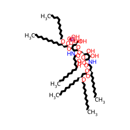 CCCCCCCCCCCCO[C@H](CCCCCCCCCCC)CC(=O)O[C@H](CCCCCCCCCCC)CC(=O)N[C@H]1C(O)O[C@H](CO[C@@H]2O[C@H](CO)[C@@H](OP(=O)(O)O)[C@H](OC(=O)C[C@@H](CCCCCCCCCCC)OCCCCCCCCCCCC)[C@H]2NC(=O)C[C@H](O)CCCCCCCCCCC)[C@@H](O)[C@@H]1O